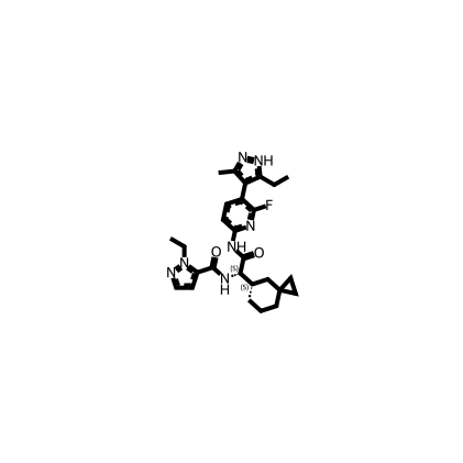 CCc1[nH]nc(C)c1-c1ccc(NC(=O)[C@@H](NC(=O)c2ccnn2CC)[C@H]2CCCC3(CC3)C2)nc1F